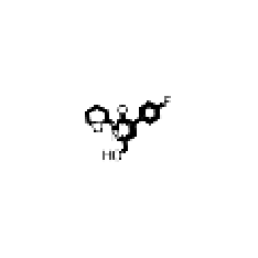 O=c1c(-c2ccc(F)cc2)cc(CO)nn1C1CCCCO1